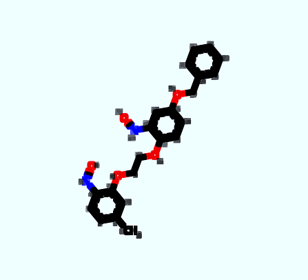 Cc1ccc(N=O)c(OCCOc2ccc(OCc3ccccc3)cc2N=O)c1